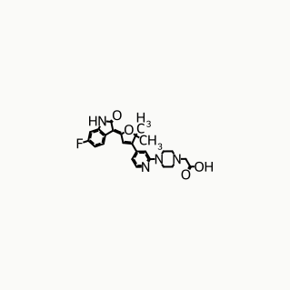 CC1(C)OC(=C2C(=O)Nc3cc(F)ccc32)C=C1c1ccnc(N2CCN(CC(=O)O)CC2)c1